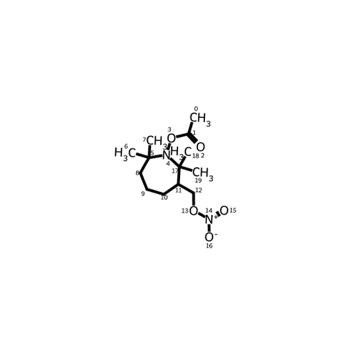 CC(=O)ON1C(C)(C)CCCC(CO[N+](=O)[O-])C1(C)C